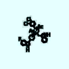 CC(=O)N(Cc1ccc(Cl)c(Cl)c1)C[C@@H](Cc1c[nH]c2ccccc12)N(C(C)=O)N1CCC(c2c[nH]c3ccc(F)cc23)CC1